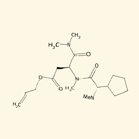 C=CCOC(=O)C[C@@H](C(=O)N(C)C)N(C)C(=O)[C@@H](NC)C1CCCC1